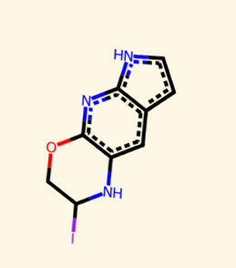 IC1COc2nc3[nH]ccc3cc2N1